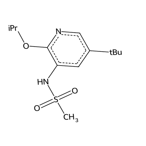 CC(C)Oc1ncc(C(C)(C)C)cc1NS(C)(=O)=O